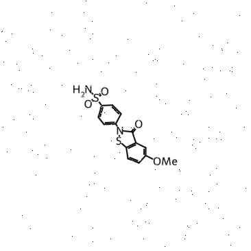 COc1ccc2sn(-c3ccc(S(N)(=O)=O)cc3)c(=O)c2c1